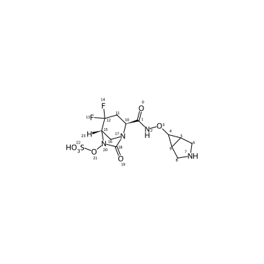 O=C(NOC1C2CNCC21)[C@@H]1CC(F)(F)[C@@H]2CN1C(=O)N2OS(=O)(=O)O